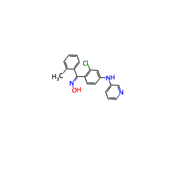 Cc1ccccc1C(=NO)c1ccc(Nc2cccnc2)cc1Cl